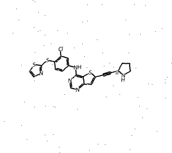 Clc1cc(Nc2ncnc3cc(C#C[C@H]4CCCN4)sc23)ccc1Sc1nccs1